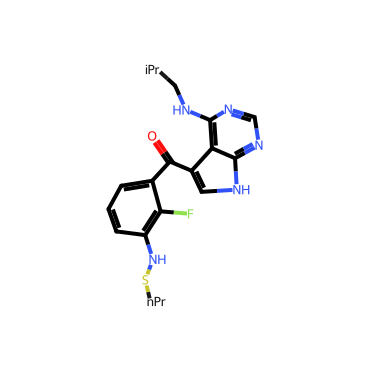 CCCSNc1cccc(C(=O)c2c[nH]c3ncnc(NCC(C)C)c23)c1F